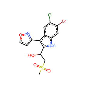 CS(=O)(=O)CC(O)c1[nH]c2cc(Br)c(Cl)cc2c1-c1ccon1